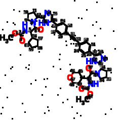 COC(=O)N[C@H](C(=O)N1CCC[C@H]1c1ncc(-c2ccc(C#Cc3ccc(-c4cnc([C@@H]5CCCN5C(=O)[C@@H](NC(=O)OC)C5CCOCC5)[nH]4)cc3)cc2)[nH]1)C1CCCC1